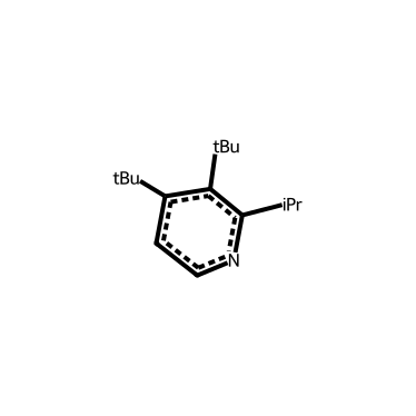 CC(C)c1nccc(C(C)(C)C)c1C(C)(C)C